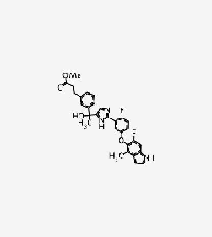 COC(=O)CCc1cccc(C(C)(O)c2cnc(-c3cc(Oc4c(F)cc5[nH]ccc5c4C)ccc3F)[nH]2)c1